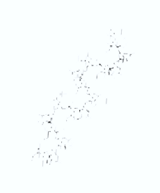 CCC(C)NCC(=O)N(CC(=O)N(CC(=O)N(CC(=O)N(CC(=O)N(CC(=O)N(CC(=O)N(CC(=O)N(CC(=O)N(CC(=O)N(CC(=O)N(CC(=O)N(CC(=O)N(CC(=O)N(CC(=O)N(CC(N)=O)C(C)CC)CC(C)O)CC(C)O)C(C)CC)CC(C)O)CC(C)O)C(C)CC)CC(C)O)CC(C)O)C(C)CC)CC(C)O)CC(C)O)C(C)CC)CC(C)O)CC(C)O